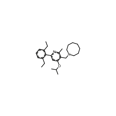 CCc1cccc(CC)c1-c1cc(OC(C)C)c(CN2CCCCCCC2)c(C)n1